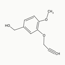 C#CCOc1cc(CO)ccc1OC